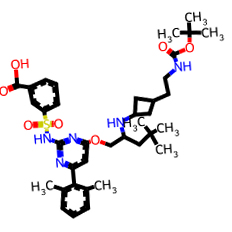 Cc1cccc(C)c1-c1cc(OCC(CC(C)(C)C)NC2CC(CCNC(=O)OC(C)(C)C)C2)nc(NS(=O)(=O)c2cccc(C(=O)O)c2)n1